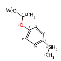 COC(C)Oc1ccc([SiH2]C)cc1